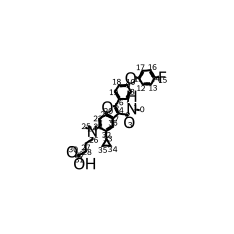 CNC(=O)c1c(-c2ccc(Oc3ccc(F)cc3)cc2)oc2cc(N(C)CCCC(=O)O)c(C3CC3)cc12